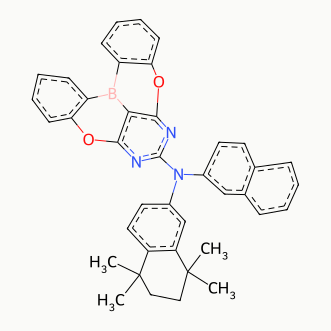 CC1(C)CCC(C)(C)c2cc(N(c3ccc4ccccc4c3)c3nc4c5c(n3)Oc3ccccc3B5c3ccccc3O4)ccc21